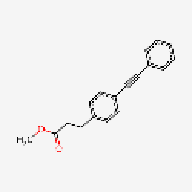 COC(=O)CCc1ccc(C#Cc2ccccc2)cc1